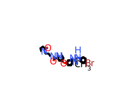 Cn1c(Nc2ccc(Br)cc2)nc2cc(Oc3ccnc(C(=O)NCCCN4CCCC4=O)c3)ccc21